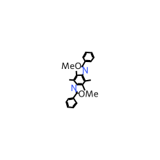 CO/C(=N\c1c(C)c(C)c(/N=C(\OC)c2ccccc2)c(C)c1C)c1ccccc1